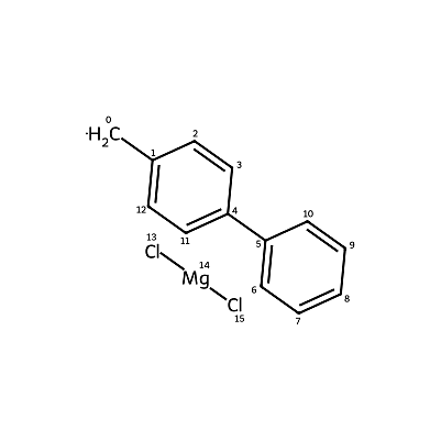 [CH2]c1ccc(-c2ccccc2)cc1.[Cl][Mg][Cl]